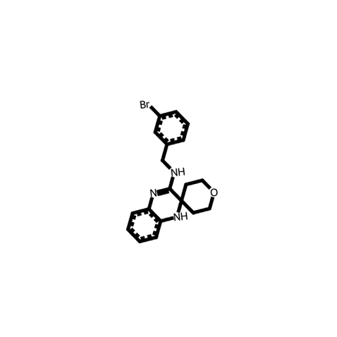 Brc1cccc(CNC2=Nc3ccccc3NC23CCOCC3)c1